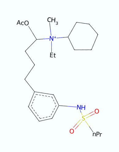 CCCS(=O)(=O)Nc1cccc(CCCC(OC(C)=O)[N+](C)(CC)C2CCCCC2)c1